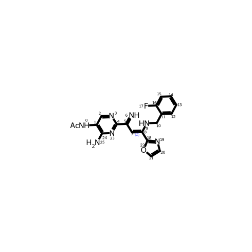 CC(=O)Nc1cnc(C(=N)/C=C(\NCc2ccccc2F)c2ncco2)nc1N